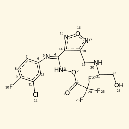 O=C(ONC(=Nc1ccc(F)c(Cl)c1)c1nonc1CNCCO)C(F)(F)F